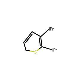 CC(C)C1=C(C(C)C)SCC=C1